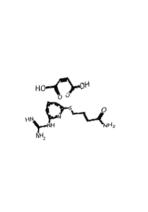 N=C(N)Nc1cccc(SCCCC(N)=O)n1.O=C(O)/C=C\C(=O)O